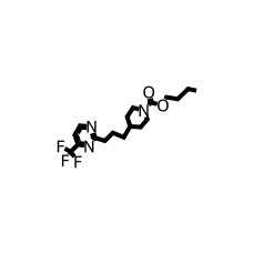 CCCCOC(=O)N1CCC(CCCc2nccc(C(F)(F)F)n2)CC1